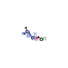 CN1CC(F)(c2cc(C3CC3)cn3cc(CNc4ccnc(NC(=O)[C@H]5C[C@@H]5c5cccc(Cl)c5)c4)nc23)C1